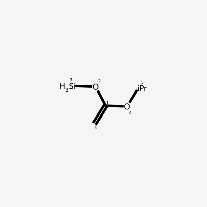 C=C(O[SiH3])OC(C)C